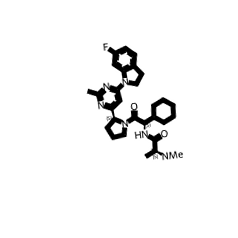 CN[C@@H](C)C(=O)N[C@H](C(=O)N1CCC[C@H]1c1cc(N2CCc3ccc(F)cc32)nc(C)n1)C1CCCCC1